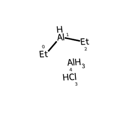 C[CH2][AlH][CH2]C.Cl.[AlH3]